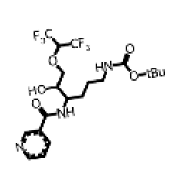 CC(C)(C)OC(=O)NCCCC(NC(=O)c1cccnc1)C(O)COC(C(F)(F)F)C(F)(F)F